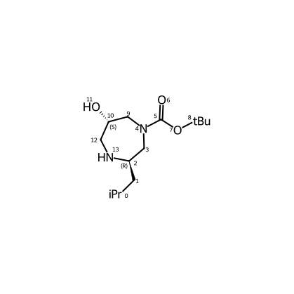 CC(C)C[C@@H]1CN(C(=O)OC(C)(C)C)C[C@@H](O)CN1